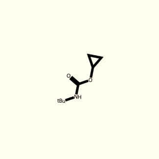 CC(C)(C)NC(=O)OC1CC1